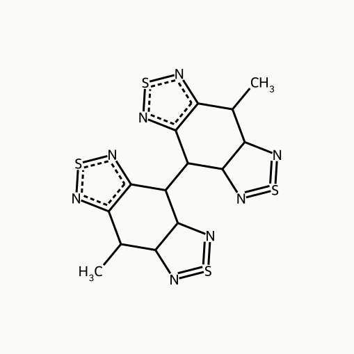 CC1c2nsnc2C(C2c3nsnc3C(C)C3N=S=NC32)C2N=S=NC12